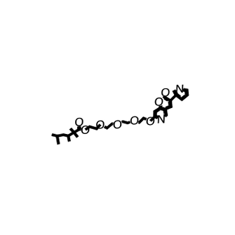 CC(C)CC(C)C(C)(C)C(=O)OCCOCCOCCOCCOc1cc2oc(=O)c(-c3cccnc3)cc2cn1